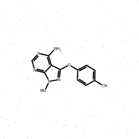 CC(C)(C)n1nc(Oc2ccc(C#N)cc2)c2c(N)ncnc21